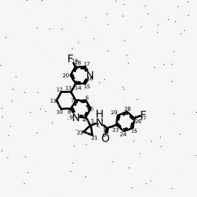 O=C(NC1(c2ccc3c(n2)CCCC3c2cncc(F)c2)CC1)c1ccc(F)cc1